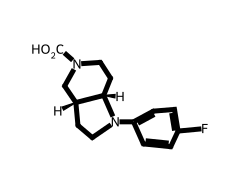 O=C(O)N1CC[C@H]2[C@H](CCN2c2ccc(F)cc2)C1